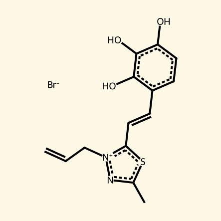 C=CC[n+]1nc(C)sc1/C=C/c1ccc(O)c(O)c1O.[Br-]